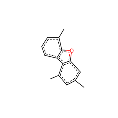 Cc1cc(C)c2c(c1)oc1c(C)cccc12